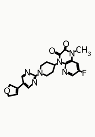 Cn1c(=O)c(=O)n(C2CCN(c3ncc(C4=CCOC4)cn3)CC2)c2ncc(F)cc21